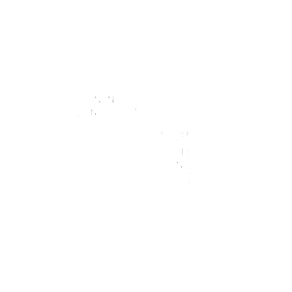 CCOC(=O)CC(c1ccc(C)c(CN(C)S(=O)(=O)C2CCCC2)c1)c1ccc2c(nnn2C)c1C